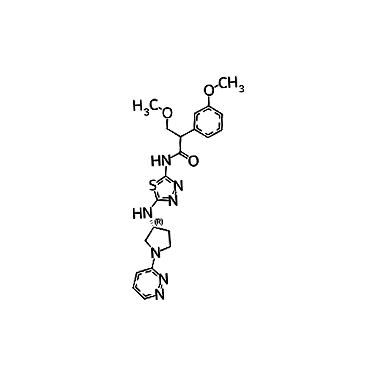 COCC(C(=O)Nc1nnc(N[C@@H]2CCN(c3cccnn3)C2)s1)c1cccc(OC)c1